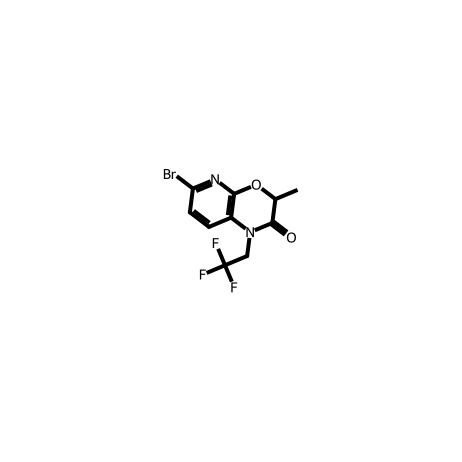 CC1Oc2nc(Br)ccc2N(CC(F)(F)F)C1=O